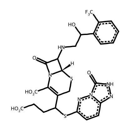 O=C(O)CCC(Sc1ccc2n[nH]c(=O)n2n1)C1=C(C(=O)O)N2C(=O)C(NCC(O)c3ccccc3C(F)(F)F)[C@@H]2SC1